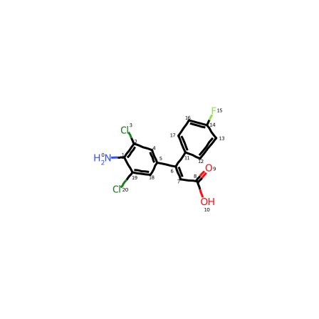 Nc1c(Cl)cc(C(=CC(=O)O)c2ccc(F)cc2)cc1Cl